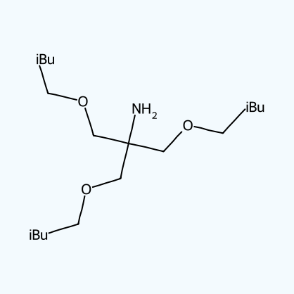 CCC(C)COCC(N)(COCC(C)CC)COCC(C)CC